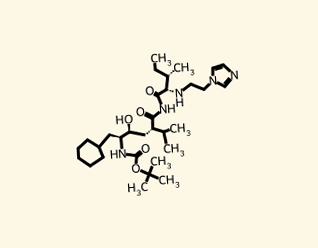 CC[C@H](C)[C@H](NCCn1ccnc1)C(=O)NC(=O)[C@@H](C[C@H](O)[C@H](CC1CCCCC1)NC(=O)OC(C)(C)C)C(C)C